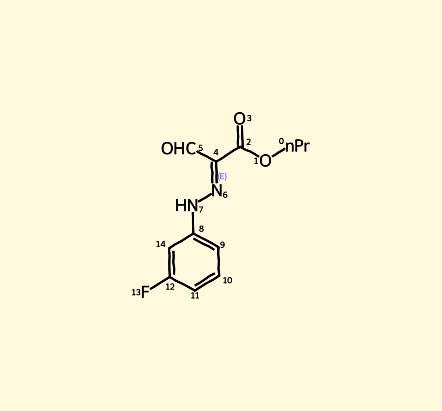 CCCOC(=O)/C(C=O)=N/Nc1cccc(F)c1